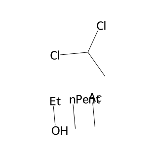 CC(C)=O.CC(Cl)Cl.CCCCCC.CCO